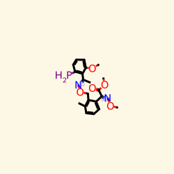 CO/N=C(/C(=O)OC)c1cccc(C)c1CO/N=C(\C)c1c(P)cccc1OC